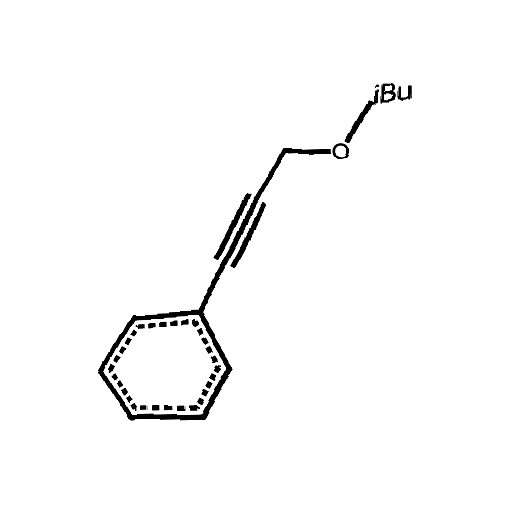 CCC(C)OCC#Cc1ccccc1